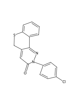 O=c1cc2c(nn1-c1ccc(Cl)cc1)-c1ccccc1SC2